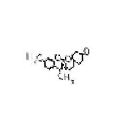 Cc1ccc(C(C)N2CCC3(CCC(=O)CC3)OC2=O)cc1